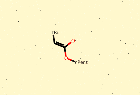 CCCCCOC([O])=CC(C)(C)C